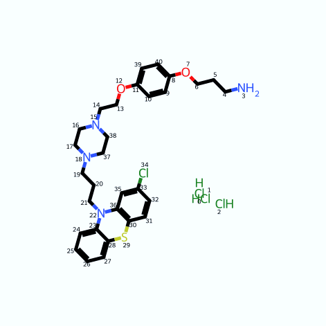 Cl.Cl.Cl.NCCCOc1ccc(OCCN2CCN(CCCN3c4ccccc4Sc4ccc(Cl)cc43)CC2)cc1